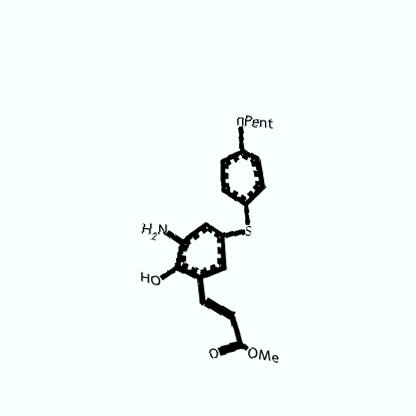 CCCCCc1ccc(Sc2cc(N)c(O)c(C=CC(=O)OC)c2)cc1